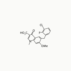 COc1cc2c(cc1Cc1cccc(Cl)c1F)c(=O)c(C(=O)O)cn2C